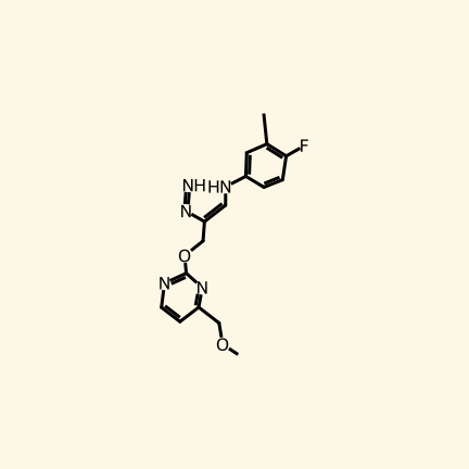 COCc1ccnc(OC/C(=C/Nc2ccc(F)c(C)c2)N=N)n1